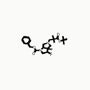 CC(C)(C)OC(=O)C(C)(C)CN1CC2N(C(=O)OCc3ccccc3)CC(F)C2(F)C1